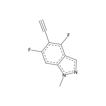 C#Cc1c(F)cc2c(cnn2C)c1F